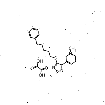 CN1CCC=C(c2nsnc2SCCCCSc2ccccc2)C1.O=C(O)C(=O)O